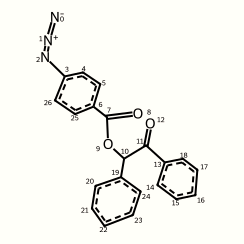 [N-]=[N+]=Nc1ccc(C(=O)OC(C(=O)c2ccccc2)c2ccccc2)cc1